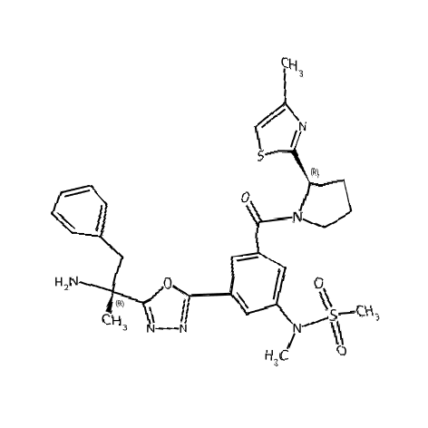 Cc1csc([C@H]2CCCN2C(=O)c2cc(-c3nnc([C@](C)(N)Cc4ccccc4)o3)cc(N(C)S(C)(=O)=O)c2)n1